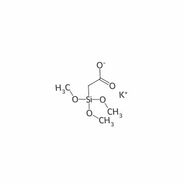 CO[Si](CC(=O)[O-])(OC)OC.[K+]